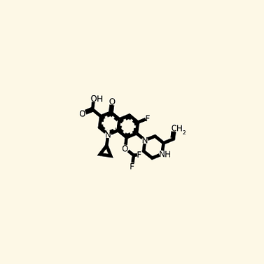 C=CC1CN(c2c(F)cc3c(=O)c(C(=O)O)cn(C4CC4)c3c2OC(F)F)CCN1